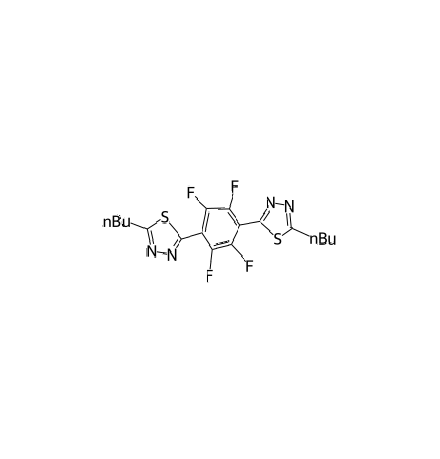 CCCCc1nnc(-c2c(F)c(F)c(-c3nnc(CCCC)s3)c(F)c2F)s1